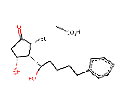 CC(=O)O.CC[C@H]1C(=O)C[C@@H](O)[C@H]1C(O)CCCCc1ccccc1